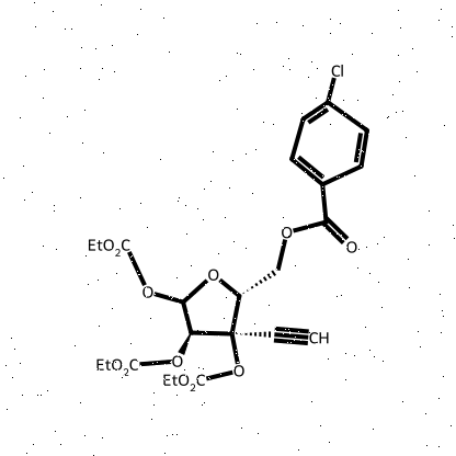 C#C[C@@]1(OC(=O)OCC)[C@@H](COC(=O)c2ccc(Cl)cc2)OC(OC(=O)OCC)[C@@H]1OC(=O)OCC